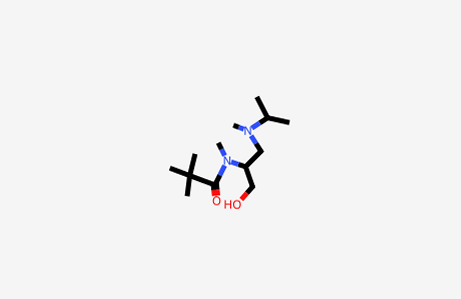 CC(C)N(C)CC(CO)N(C)C(=O)C(C)(C)C